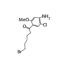 COc1cc(N)c(Cl)cc1C(=O)CCCCCBr